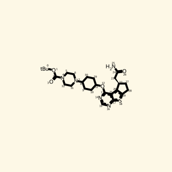 CC(C)(C)OC(=O)N1CCN(C2CCC(Oc3ncnc4sc5c(c34)[C@@H](CC(N)=O)CC5)CC2)CC1